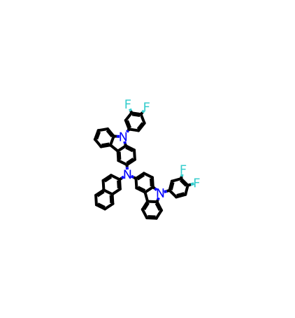 Fc1ccc(-n2c3ccccc3c3cc(N(c4ccc5ccccc5c4)c4ccc5c(c4)c4ccccc4n5-c4ccc(F)c(F)c4)ccc32)cc1F